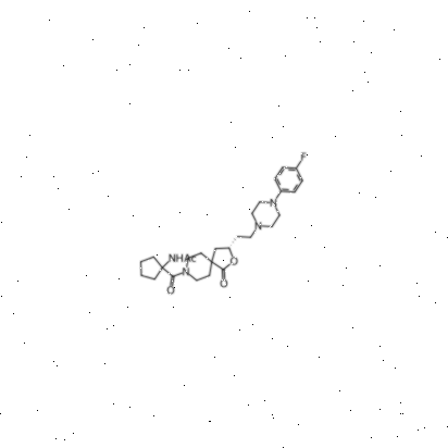 CC(=O)NC1(C(=O)N2CCC3(CC2)C[C@H](CCN2CCN(c4ccc(F)cc4)CC2)OC3=O)CCCC1